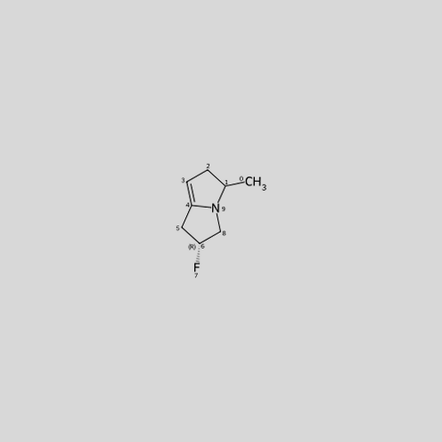 CC1CC=C2C[C@@H](F)CN21